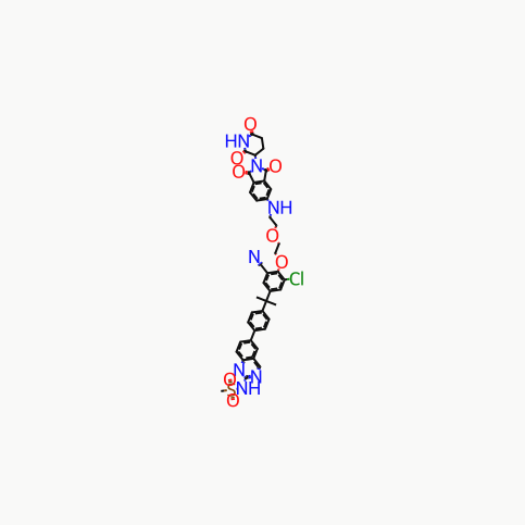 CC(C)(c1ccc(-c2ccc3nc(NS(C)(=O)=O)ncc3c2)cc1)c1cc(Cl)c(OCCOCCNc2ccc3c(c2)C(=O)N(C2CCC(=O)NC2=O)C3=O)c(C#N)c1